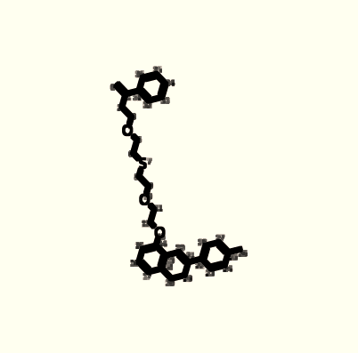 C=C(CCOCCSCCOCCOc1cccc2c1C=C(c1ccc(C)cc1)CC2)c1ccccc1